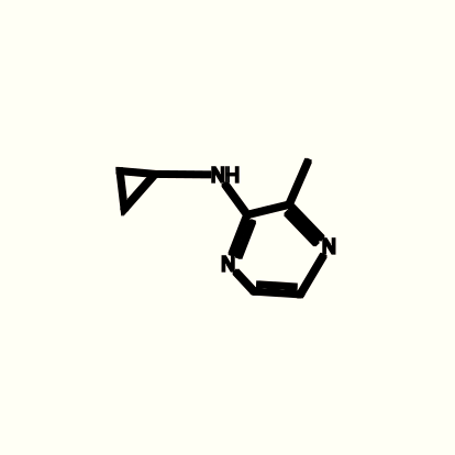 Cc1nccnc1NC1CC1